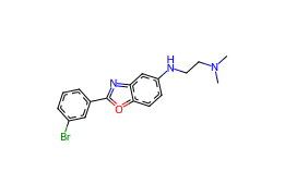 CN(C)CCNc1ccc2oc(-c3cccc(Br)c3)nc2c1